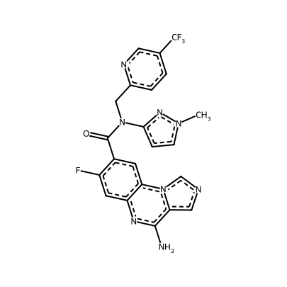 Cn1ccc(N(Cc2ccc(C(F)(F)F)cn2)C(=O)c2cc3c(cc2F)nc(N)c2cncn23)n1